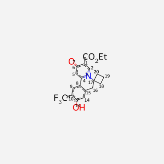 CCOC(=O)c1cn2c(cc1=O)-c1cc(C(F)(F)F)c(O)cc1CC21CCC1